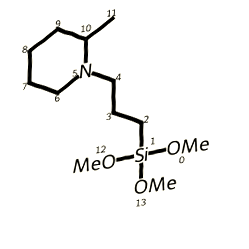 CO[Si](CCCN1CCCCC1C)(OC)OC